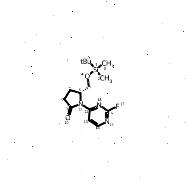 CC(C)(C)[Si](C)(C)OC[C@H]1CCC(=O)N1c1ccnc(F)n1